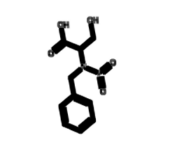 O=C(O)C(CO)N(Cc1ccccc1)P(=O)=O